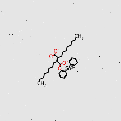 CCCCCCCCC(C(=O)[O-])=C(CCCCCCCC)C(=O)[O-].c1cc[c]([Sn+2][c]2ccccc2)cc1